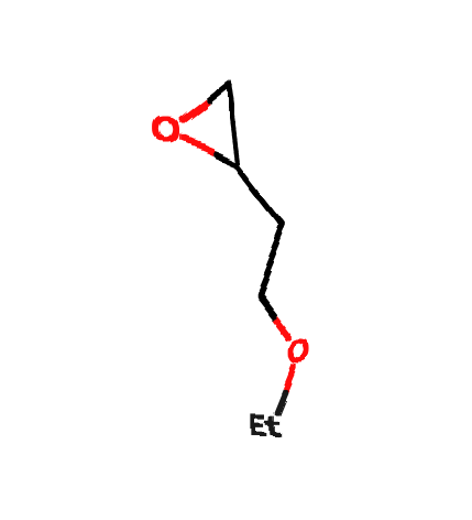 CCOCCC1CO1